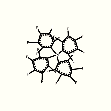 Fc1c(F)c(F)c([PH](c2c(F)c(F)c(F)c(F)c2F)(c2c(F)c(F)c(F)c(F)c2F)c2c(F)c(F)c(F)c(F)c2F)c(F)c1F